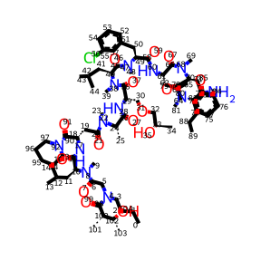 CCCCN(CC(=O)N(C)[C@@H](CC(C)C)C(=O)N[C@@H](CC(=O)N(C)[C@@H](C)C(=O)N[C@@H](COC[C@@H](C)O)C(=O)N(C)[C@@H](CC(C)C)C(=O)N(C)[C@@H](Cc1cccc(Cl)c1)C(=O)N[C@@H](CC(C)C)C(=O)N(C)[C@@H](Cc1ccccc1)C(=O)N(C)[C@H](C(N)=O)[C@@H](C)CC)C(=O)N1CCCCC1)C(=O)[C@@H](C)[C@@H](C)O